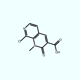 Cn1c(=O)c(C(=O)O)cc2ccnc(Cl)c21